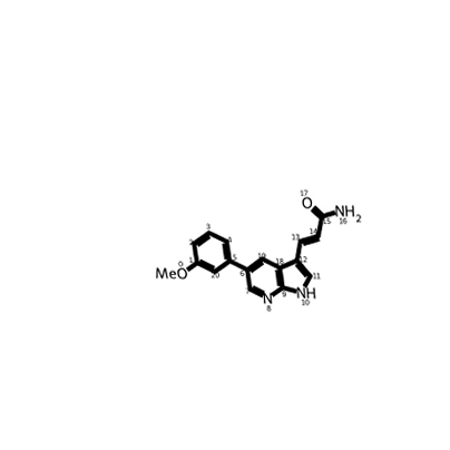 COc1cccc(-c2cnc3[nH]cc(C=CC(N)=O)c3c2)c1